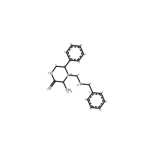 CC1C(=O)OCC(c2ccccc2)N1CSCc1ccccc1